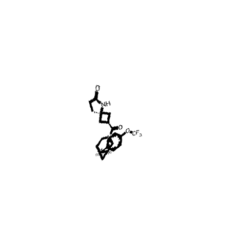 O=C1CC[C@]2(C[C@H](C(=O)N3CC[C@@]4(c5ccc(OC(F)(F)F)cc5)C[C@H]4C3)C2)N1